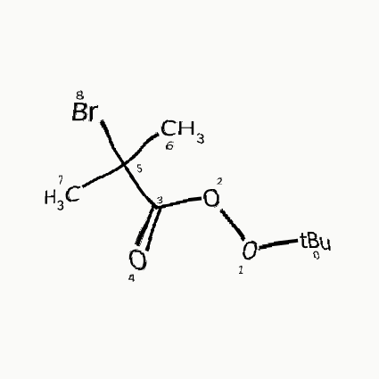 CC(C)(C)OOC(=O)C(C)(C)Br